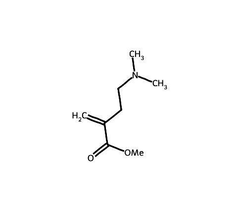 C=C(CCN(C)C)C(=O)OC